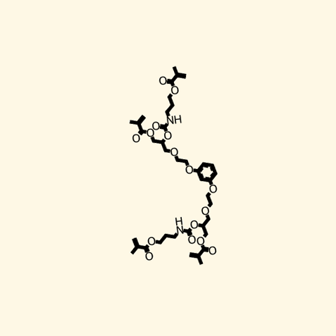 C=C(C)C(=O)OCCCNC(=O)OC(COCCOc1cccc(OCCOCC(COC(=O)C(=C)C)OC(=O)NCCCOC(=O)C(=C)C)c1)COC(=O)C(=C)C